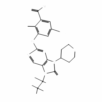 [2H]C([2H])([2H])C([2H])([2H])n1c(=O)n(C2CCOCC2)c2nc(Nc3cc(C)cc(C(N)=O)c3F)ncc21